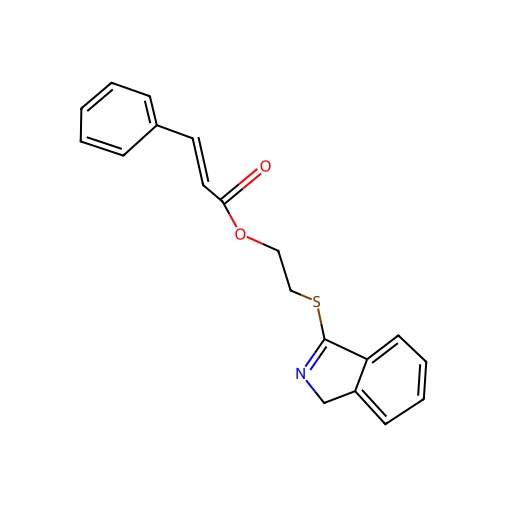 O=C(/C=C/c1ccccc1)OCCSC1=NCc2ccccc21